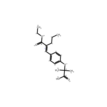 CCC/C(=C\c1ccc(OC(C)(C)C(=O)O)cc1)C(=O)OCC